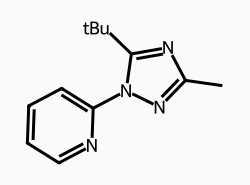 Cc1nc(C(C)(C)C)n(-c2ccccn2)n1